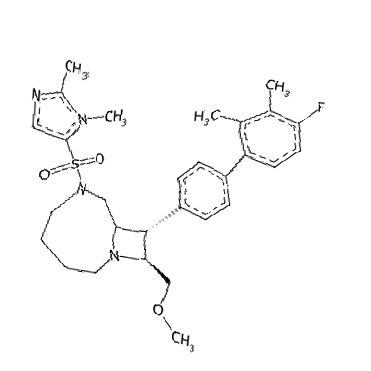 COC[C@@H]1[C@@H](c2ccc(-c3ccc(F)c(C)c3C)cc2)C2CN(S(=O)(=O)c3cnc(C)n3C)CCCCN21